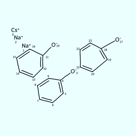 [Cs+].[Na+].[Na+].[O-]c1ccccc1.[O-]c1ccccc1.[O-]c1ccccc1